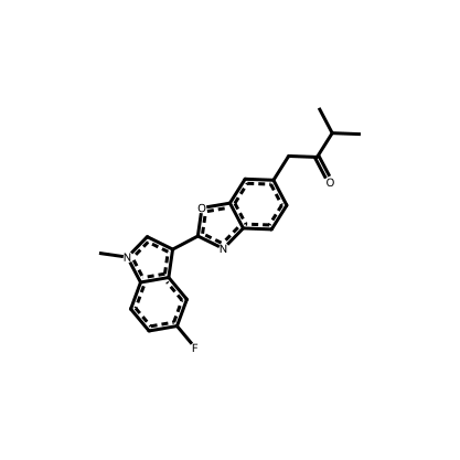 CC(C)C(=O)Cc1ccc2nc(-c3cn(C)c4ccc(F)cc34)oc2c1